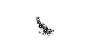 Cc1c(NC(=O)Nc2sc(C(C)(C)C)cc2C(=O)N2CCNC(=O)C2(C)C)cccc1-c1ccc(N2CCOCC2)nc1